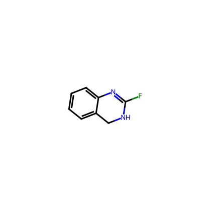 FC1=Nc2ccccc2CN1